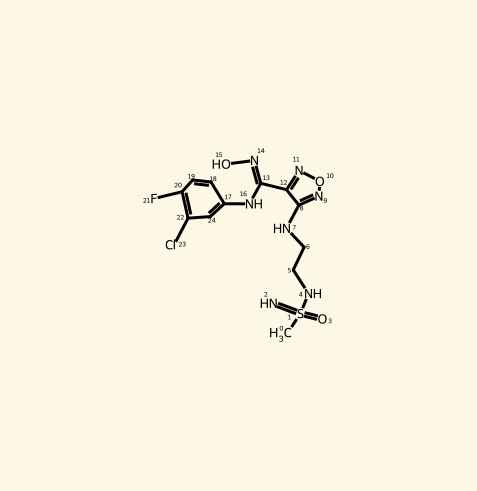 CS(=N)(=O)NCCNc1nonc1/C(=N/O)Nc1ccc(F)c(Cl)c1